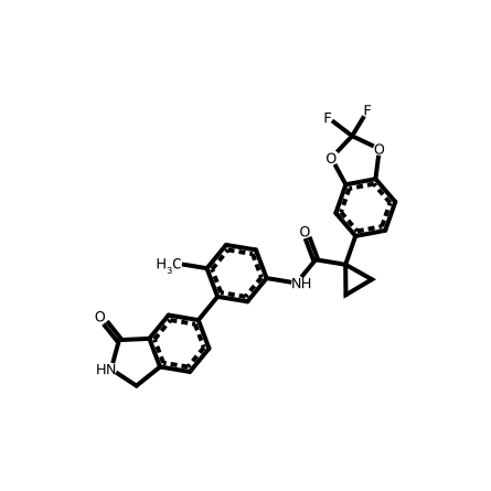 Cc1ccc(NC(=O)C2(c3ccc4c(c3)OC(F)(F)O4)CC2)cc1-c1ccc2c(c1)C(=O)NC2